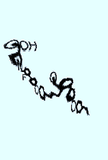 CCC1CCC(Oc2ccc(-c3cccc(C=O)c3CCCC3CCC(Oc4ccc(-c5cccc(CN6CCC(C(=O)O)C6)c5F)cc4)CC3)cc2)CC1